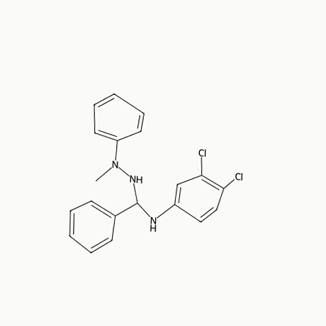 CN(NC(Nc1ccc(Cl)c(Cl)c1)c1ccccc1)c1ccccc1